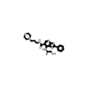 C[C@H](CO)Nc1c(C(=O)NCCCN2CCOCC2)cnc2sc(-c3ccccc3)nc12